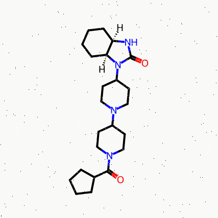 O=C(C1CCCC1)N1CCC(N2CCC(N3C(=O)N[C@@H]4CCCC[C@@H]43)CC2)CC1